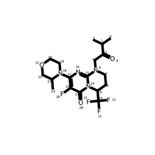 CC(C)C(=O)CN1CCC(C(F)(F)F)n2c1nc(N1CCOCC1C)c(F)c2=O